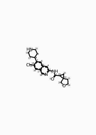 O=C(Nc1cc2cc(C3CCNCC3)c(Cl)cc2cn1)C1CC12CCOC2